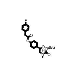 CN(CC(O)c1ccc(OC(=O)Cc2ccc(F)cc2)cc1)C(=O)OC(C)(C)C